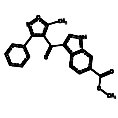 COC(=O)c1ccc2c(C(=O)c3c(-c4ccccc4)noc3C)c[nH]c2c1